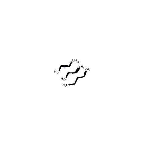 C/C=C/C.C=CCC.C=CCCC